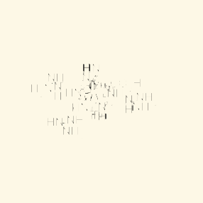 CC[C@H](C)[C@H](NC(=O)[C@H](CCCNC(=N)N)NC(=O)[C@@H](NC(=O)[C@H](CCCNC(=N)N)NC(=O)[C@H](CCCNC(=N)N)NC(=O)[C@@H]1CCCN1)[C@@H](C)CC)C(=O)O